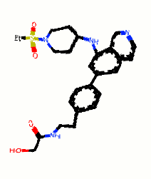 CCS(=O)(=O)N1CCC(Nc2cc(-c3ccc(CCNC(=O)CO)cc3)cc3ccncc23)CC1